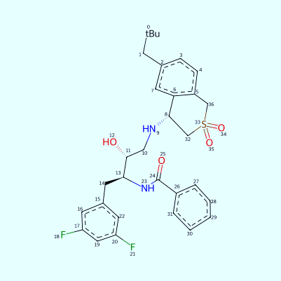 CC(C)(C)Cc1ccc2c(c1)[C@@H](NC[C@@H](O)[C@H](Cc1cc(F)cc(F)c1)NC(=O)c1ccccc1)CS(=O)(=O)C2